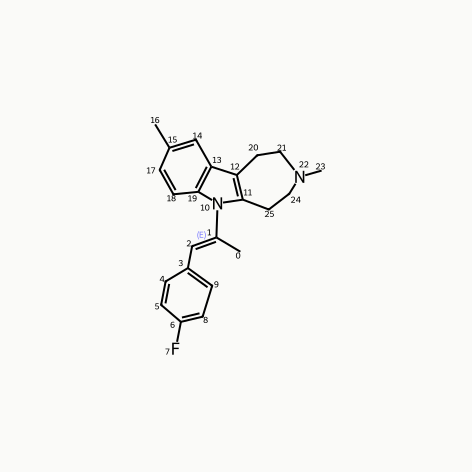 C/C(=C\c1ccc(F)cc1)n1c2c(c3cc(C)ccc31)CCN(C)CC2